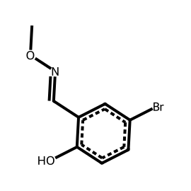 CO/N=C/c1cc(Br)ccc1O